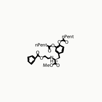 CCCCCC(=O)Oc1ccc(C[C@H](NCCOC(=O)c2ccccc2)C(=O)OC)cc1OC(=O)CCCCC